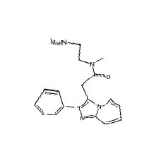 CNCCN(C)C(=O)Cc1c(-c2ccccc2)nc2ccccn12